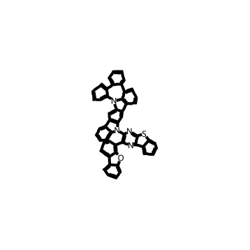 c1ccc2c(c1)-c1ccccc1-n1c3cc4c5ccccc5n(-c5nc6sc7ccccc7c6nc5-c5cccc6c5oc5ccccc56)c4cc3c3cccc-2c31